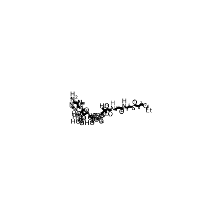 CCC=C=CCC(=O)SCCNC(=O)CCNC(=O)[C@H](O)C(C)(C)COP(=O)(O)OP(=O)(O)OC[C@H]1O[C@H](n2cnc3c(N)ncnc32)[C@H](O)[C@@H]1OP(=O)(O)O